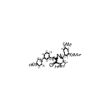 COc1cc(OC)cc(-c2nn(-c3cccc(N4CC[C@H](O)C4)c3)c(=O)c3c2CCN3)c1